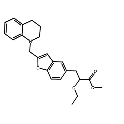 CCOC(Cc1ccc2oc(CN3CCCc4ccccc43)cc2c1)C(=O)OC